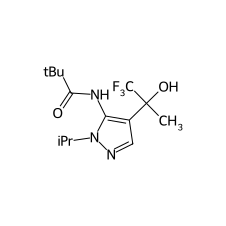 CC(C)n1ncc(C(C)(O)C(F)(F)F)c1NC(=O)C(C)(C)C